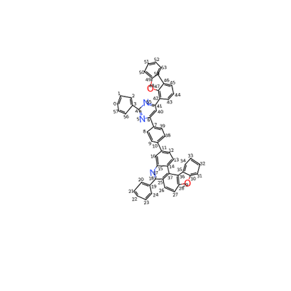 c1ccc(-c2nc(-c3ccc(-c4ccc5c(c4)nc(-c4ccccc4)c4ccc6oc7ccccc7c6c45)cc3)cc(-c3cccc4c3oc3ccccc34)n2)cc1